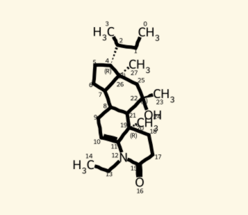 CCC(C)[C@H]1CCC2C3CC=C4N(CC)C(=O)CC[C@]4(C)C3[C@@](C)(O)C[C@@]21C